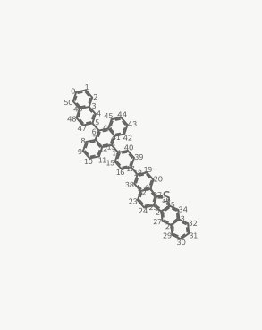 c1ccc2cc(-c3c4ccccc4c(-c4ccc(-c5ccc6c(ccc7c8cc9ccccc9cc8sc67)c5)cc4)c4ccccc34)ccc2c1